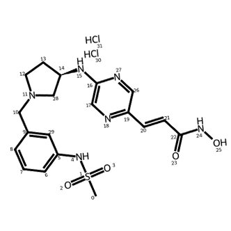 CS(=O)(=O)Nc1cccc(CN2CC[C@@H](Nc3cnc(/C=C/C(=O)NO)cn3)C2)c1.Cl.Cl